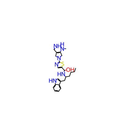 CCCCC(Cc1c[nH]c2ccccc12)NC(O)c1cnc(N2CC(C=N)=C(NC)C2)s1